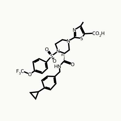 Cc1nc(N2CCN(S(=O)(=O)c3ccc(OC(F)(F)F)cc3)[C@@H](C(=O)NCc3ccc(C4CC4)cc3)C2)sc1C(=O)O